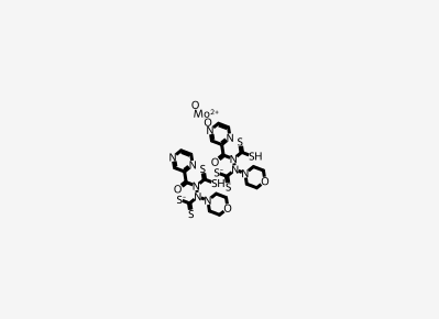 O=C(c1cnccn1)N(C(=S)S)N(C(=S)[S-])N1CCOCC1.O=C(c1cnccn1)N(C(=S)S)N(C(=S)[S-])N1CCOCC1.[O]=[Mo+2]=[O]